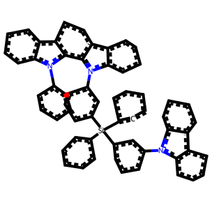 c1ccc(-n2c3ccccc3c3ccc4c5ccccc5n(-c5cccc([Si](c6ccccc6)(c6ccccc6)c6cccc(-n7c8ccccc8c8ccccc87)c6)c5)c4c32)cc1